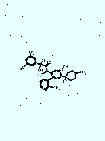 Cc1ccccc1-c1cc([N+]2([O-])CCN(C)CC2)[n+](O)cc1N(C)C(=O)C(C)(C)c1cc(C(F)(F)F)cc(C(F)(F)F)c1